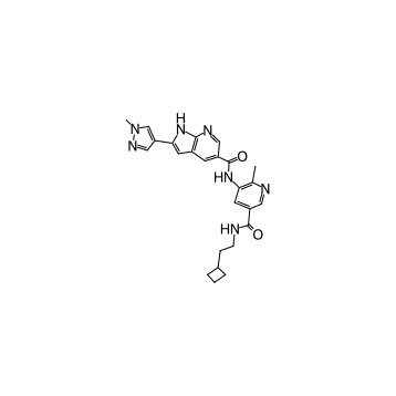 Cc1ncc(C(=O)NCCC2CCC2)cc1NC(=O)c1cnc2[nH]c(-c3cnn(C)c3)cc2c1